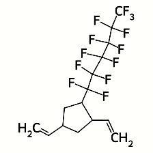 C=CC1CC(C=C)C(C(F)(F)C(F)(F)C(F)(F)C(F)(F)C(F)(F)C(F)(F)F)C1